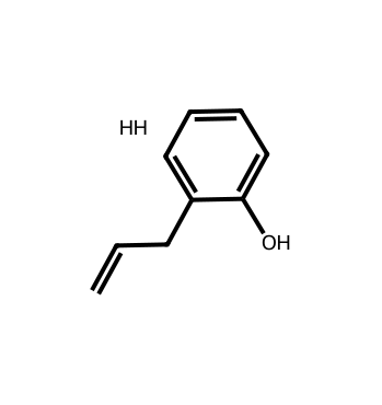 C=CCc1ccccc1O.[HH]